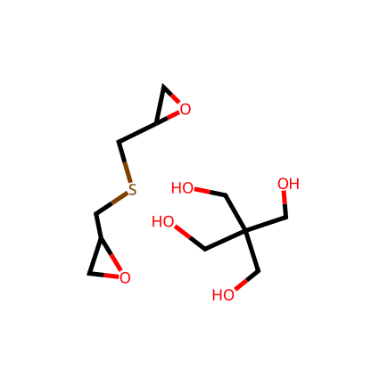 C1OC1CSCC1CO1.OCC(CO)(CO)CO